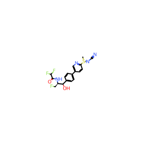 C/S(=N\C#N)c1ccc(-c2ccc([C@@H](O)[C@@H](CF)NC(=O)C(F)F)cc2)cn1